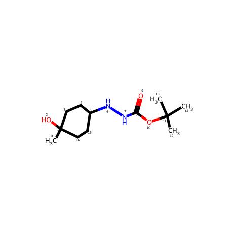 CC1(O)CCC(NNC(=O)OC(C)(C)C)CC1